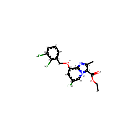 CCOC(=O)c1c(C)nc2c(OCc3cccc(F)c3F)cc(Cl)cn12